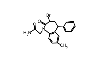 Cc1ccc2c(c1)C(c1ccccc1)CC(Br)C(=O)N2CC(N)=O